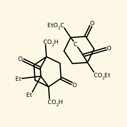 CCC1(CC)C(=O)C2(C(=O)O)CCC1(C(=O)O)C(=O)C2.CCOC(=O)C12CCC(C(=O)OCC)(CC1=O)C(=O)C2